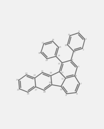 c1ccc(-c2cc3cccc4c3c(c2-c2ccccc2)-c2cc3ccccc3cc2-4)cc1